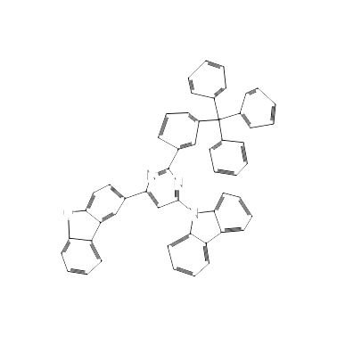 c1ccc(C(c2ccccc2)(c2ccccc2)c2cccc(-c3nc(-c4ccc5oc6ccccc6c5c4)cc(-n4c5ccccc5c5ccccc54)n3)c2)cc1